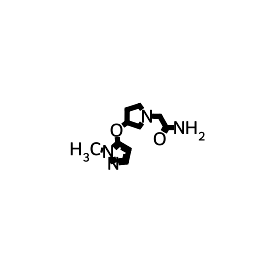 Cn1nccc1OC1CCN(CC(N)=O)C1